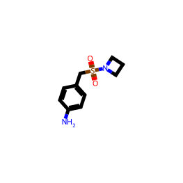 Nc1ccc(CS(=O)(=O)N2CCC2)cc1